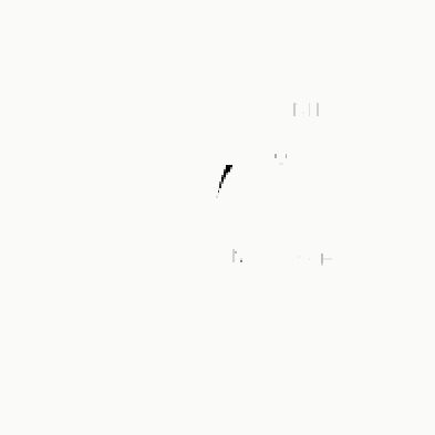 NOC[C@@H]1CC(F)(F)CN1C(=O)O